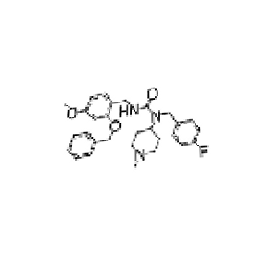 COc1ccc(CNC(=O)N(Cc2ccc(F)cc2)C2CCN(C)CC2)c(OCc2ccccc2)c1